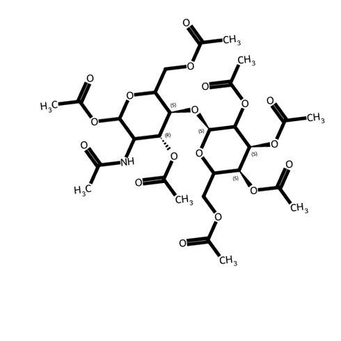 CC(=O)NC1C(OC(C)=O)OC(COC(C)=O)[C@@H](O[C@@H]2OC(COC(C)=O)[C@H](OC(C)=O)[C@H](OC(C)=O)C2OC(C)=O)[C@@H]1OC(C)=O